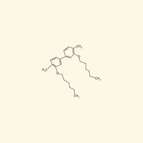 CCCCCCOc1cc(-c2ccc(C)c(OCCCCCC)c2)ccc1C